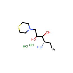 CC(C)C[C@H](N)C(O)C(O)CN1CCSCC1.Cl.Cl